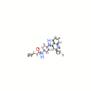 CC(C)CCC(=O)N[C@H]1CC[C@@H](Nc2cc(C(F)(F)F)nc3ccccc23)CC1